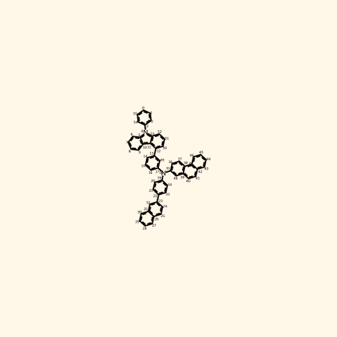 c1ccc(-n2c3ccccc3c3c(-c4cccc(N(c5ccc(-c6ccc7ccccc7c6)cc5)c5ccc6c(ccc7ccccc76)c5)c4)cccc32)cc1